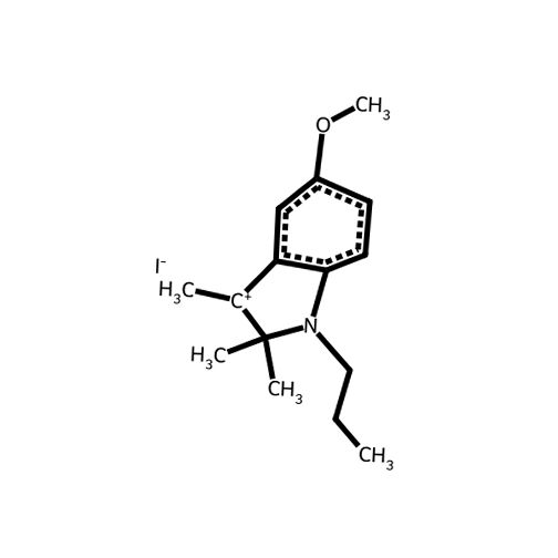 CCCN1c2ccc(OC)cc2[C+](C)C1(C)C.[I-]